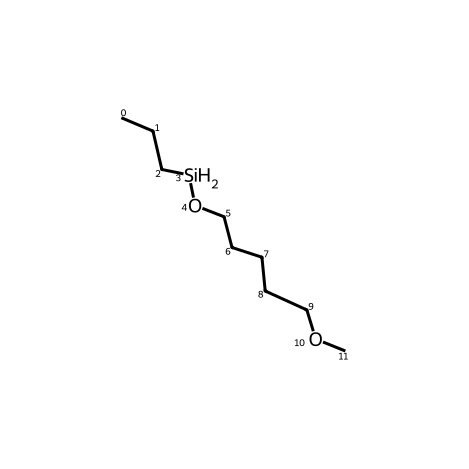 CCC[SiH2]OCCCCCOC